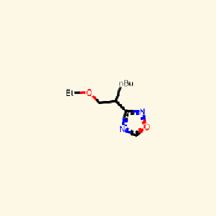 [CH2]COCC(CCCC)c1ncon1